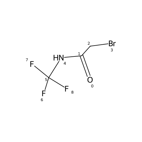 O=C(CBr)NC(F)(F)F